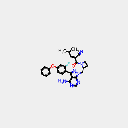 CC(C)C=C(C#N)C(=O)N1CC[C@H]1Cn1nc(-c2ccc(Oc3ccccc3)cc2F)c2c(N)ncnc21